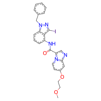 COCCOc1ccn2c(C(=O)Nc3cccc4c3c(I)nn4Cc3ccccc3)cnc2c1